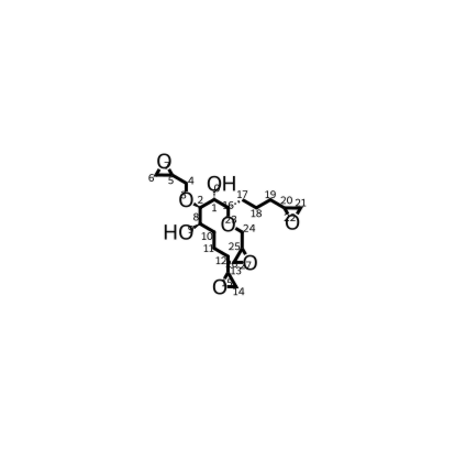 O[C@@H]([C@H](OCC1CO1)[C@H](O)CCCC1CO1)[C@H](CCCC1CO1)OCC1CO1